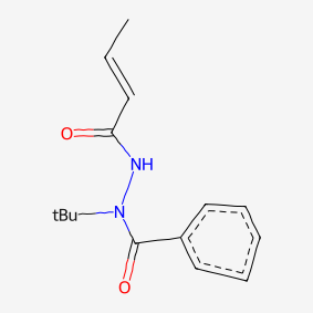 CC=CC(=O)NN(C(=O)c1ccccc1)C(C)(C)C